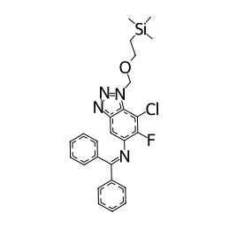 C[Si](C)(C)CCOCn1nnc2cc(N=C(c3ccccc3)c3ccccc3)c(F)c(Cl)c21